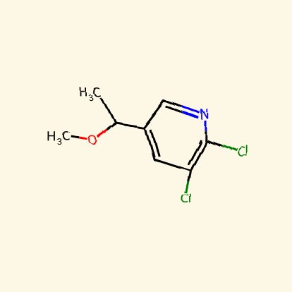 COC(C)c1cnc(Cl)c(Cl)c1